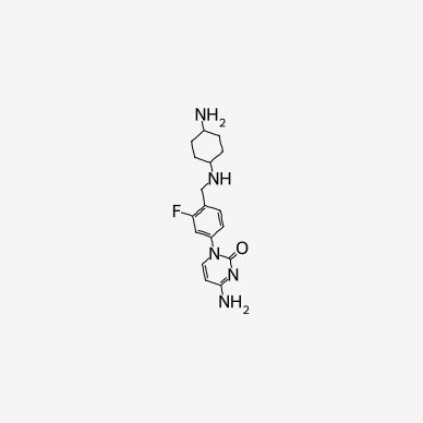 Nc1ccn(-c2ccc(CNC3CCC(N)CC3)c(F)c2)c(=O)n1